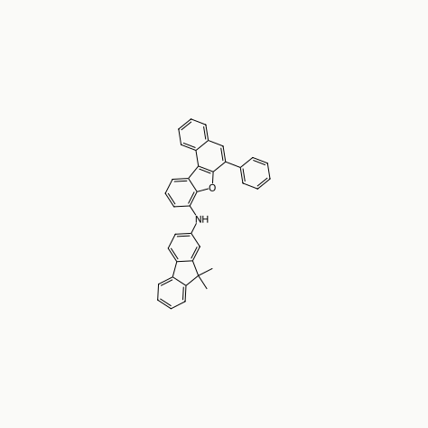 CC1(C)c2ccccc2-c2ccc(Nc3cccc4c3oc3c(-c5ccccc5)cc5ccccc5c34)cc21